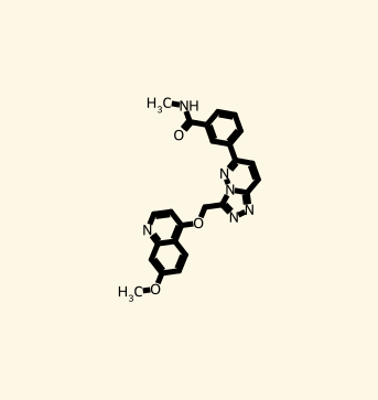 CNC(=O)c1cccc(-c2ccc3nnc(COc4ccnc5cc(OC)ccc45)n3n2)c1